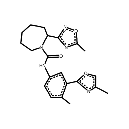 Cc1coc(-c2cc(NC(=O)N3CCCCCC3c3noc(C)n3)ccc2C)n1